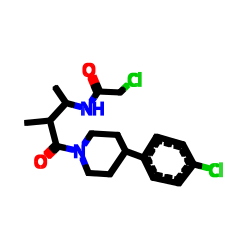 CC(NC(=O)CCl)C(C)C(=O)N1CCC(c2ccc(Cl)cc2)CC1